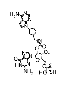 CO[C@H]1[C@@H](O[PH](=O)OC[C@@H]2CC[C@H](n3ccc4c(N)ncnc43)C2)[C@H](n2cnc3c(=O)[nH]c(N)nc32)O[C@@H]1COP(=O)(O)S